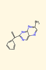 Bc1cnc2cnc(C(=C)c3ccccc3)nc2n1